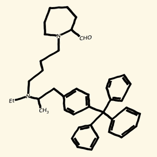 CCN(CCCCN1CCCCCC1C=O)C(C)Cc1ccc(C(c2ccccc2)(c2ccccc2)c2ccccc2)cc1